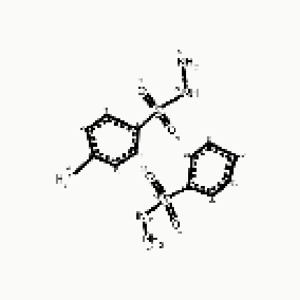 Cc1ccc(S(=O)(=O)NN)cc1.NNS(=O)(=O)c1ccccc1